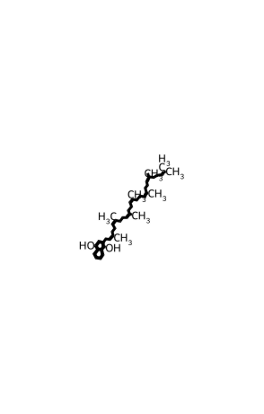 CC(C)=CCCC(C)=CCCC(C)=CCCC(C)=CCCC(C)=CCCC(C)=CCCC(C)=CCc1cc(O)c2ccccc2c1O